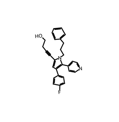 OCCC#Cc1cc(-c2ccc(F)cc2)c(-c2ccncc2)n1CCCc1ccccc1